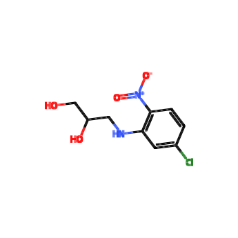 O=[N+]([O-])c1ccc(Cl)cc1NCC(O)CO